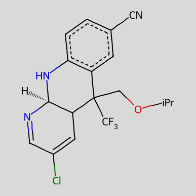 CC(C)OCC1(C(F)(F)F)c2cc(C#N)ccc2N[C@@H]2N=CC(Cl)=CC21